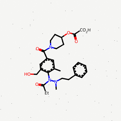 CCC(=O)N(c1c(C)cc(C(=O)N2CCC(OC(=O)C(=O)O)CC2)cc1CO)N(C)CCc1ccccc1